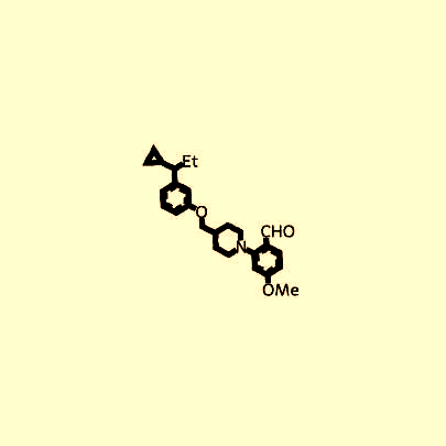 CCC(c1cccc(OCC2CCN(c3cc(OC)ccc3C=O)CC2)c1)C1CC1